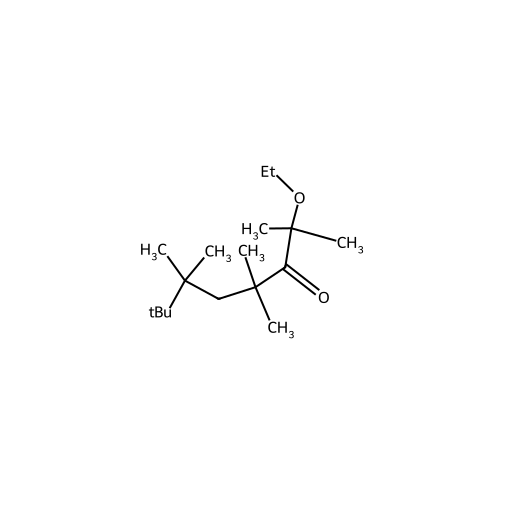 CCOC(C)(C)C(=O)C(C)(C)CC(C)(C)C(C)(C)C